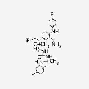 CC(C)CC(C1=CC(CN)=C(NC2=CC=C(F)CC2)CC1)C(C)(C)CNC(=O)NC(C)(C)Cc1ccc(F)cc1